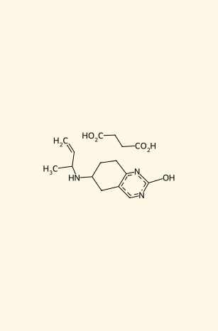 C=CC(C)NC1CCc2nc(O)ncc2C1.O=C(O)CCC(=O)O